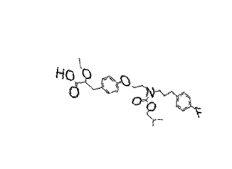 CCOC(Cc1ccc(OCCN(CCCc2ccc(F)cc2)C(=O)OCC(C)C)cc1)C(=O)O